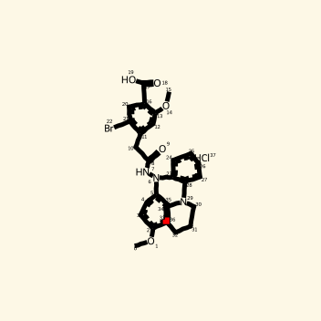 COc1ccc(N(NC(=O)Cc2cc(OC)c(C(=O)O)cc2Br)c2ccccc2N2CCCCC2)cc1.Cl